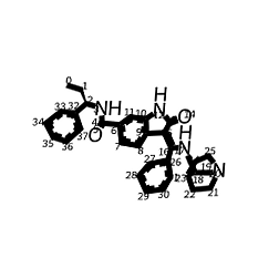 CC[C@@H](NC(=O)c1ccc2c(c1)NC(=O)/C2=C(\NC1CN2CCC1CC2)c1ccccc1)c1ccccc1